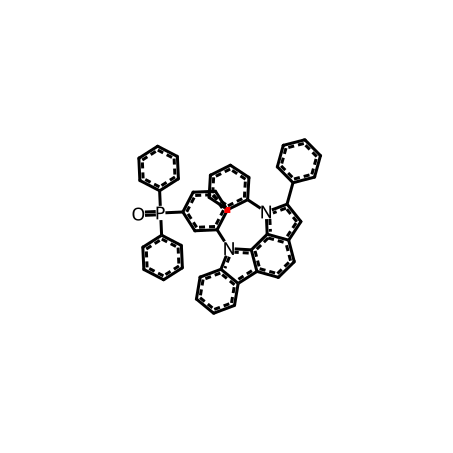 O=P(c1ccccc1)(c1ccccc1)c1cccc(-n2c3ccccc3c3ccc4cc(-c5ccccc5)n(-c5ccccc5)c4c32)c1